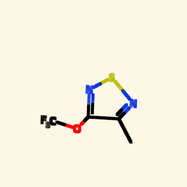 Cc1nsnc1OC(F)(F)F